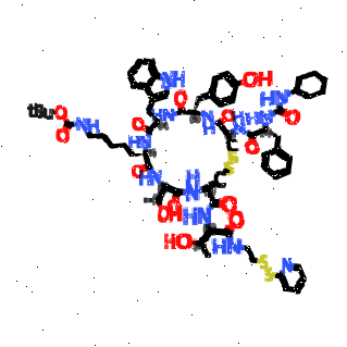 C[C@@H](O)[C@H](NC(=O)[C@@H]1CSSC[C@H](NC(=O)[C@@H](Cc2ccccc2)NC(=O)NC2CCCCC2)C(=O)N[C@@H](Cc2ccc(O)cc2)C(=O)N[C@H](Cc2c[nH]c3ccccc23)C(=O)N[C@@H](CCCCCNC(=O)OC(C)(C)C)C(=O)N[C@@H]([C@@H](C)O)C(=O)N1)C(=O)NCCSSc1ccccn1